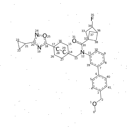 COCc1ccc(-c2cccc(N(CC34CCC(c5nc(C6CC6)no5)(CC3)CC4)C(=O)C34CC(F)C(C3)C4)c2)cc1